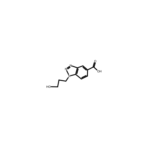 O=C(O)c1ccc2c(c1)nnn2CCCO